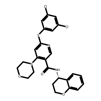 O=C(N[C@H]1CCOc2ccccc21)c1cnc(Sc2cc(Cl)cc(Cl)c2)cc1N1CCOCC1